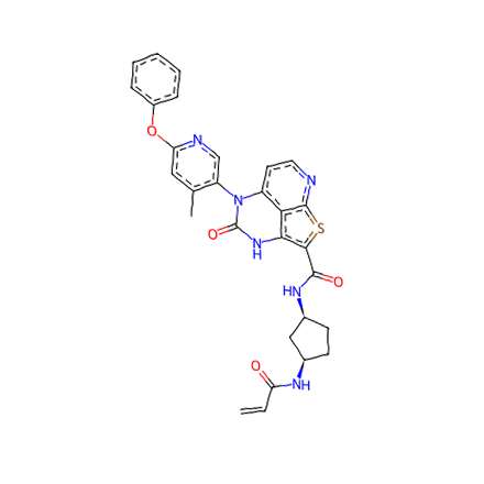 C=CC(=O)N[C@@H]1CC[C@H](NC(=O)c2sc3nccc4c3c2NC(=O)N4c2cnc(Oc3ccccc3)cc2C)C1